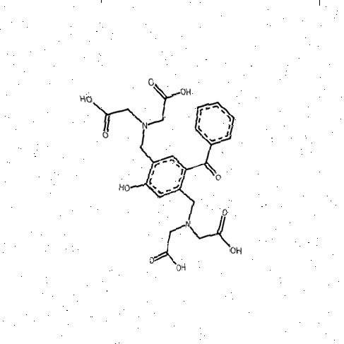 O=C(O)CN(CC(=O)O)Cc1cc(C(=O)c2ccccc2)c(CN(CC(=O)O)CC(=O)O)cc1O